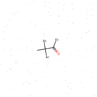 CCC(=O)C(C)(C(C)=O)C(C)=O